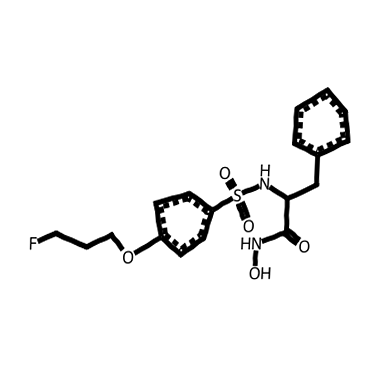 O=C(NO)C(Cc1ccccc1)NS(=O)(=O)c1ccc(OCCCF)cc1